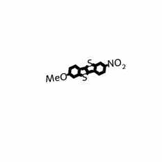 COc1ccc2c(c1)sc1c3ccc([N+](=O)[O-])cc3sc21